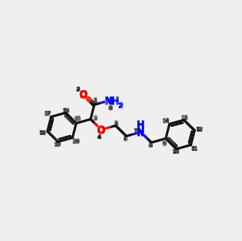 NC(=O)C(OCCNCc1ccccc1)c1ccccc1